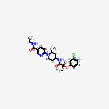 CCCC1CC(NC(=O)C(C)(C)Oc2ccc(F)c(Cl)c2)CCN1c1ccc(C(=O)NCC(F)(F)F)cn1